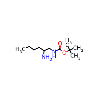 CCCCC(N)CNC(=O)OC(C)(C)C